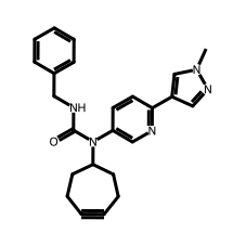 Cn1cc(-c2ccc(N(C(=O)NCc3ccccc3)C3CCC#CCC3)cn2)cn1